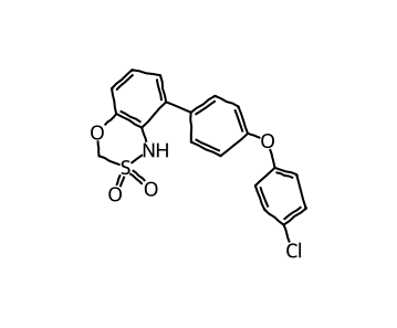 O=S1(=O)COc2cccc(-c3ccc(Oc4ccc(Cl)cc4)cc3)c2N1